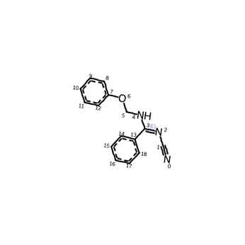 N#C/N=C(/NCOc1ccccc1)c1ccccc1